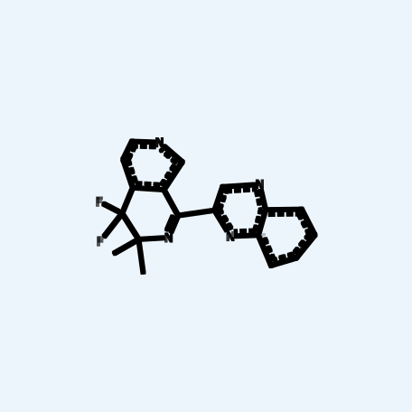 CC1(C)N=C(c2cnc3ccccc3n2)c2cnccc2C1(F)F